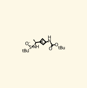 C[C@H](N[S@@+]([O-])C(C)(C)C)C12CC(NC(=O)OC(C)(C)C)(C1)C2